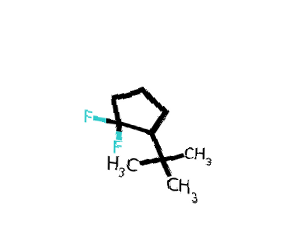 CC(C)(C)C1CCCC1(F)F